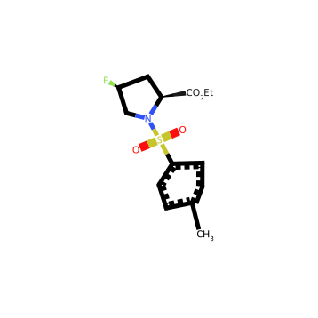 CCOC(=O)[C@@H]1C[C@H](F)CN1S(=O)(=O)c1ccc(C)cc1